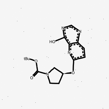 CC(C)(C)OC(=O)N1CC[C@H](Oc2ccc3ncnc(O)c3n2)C1